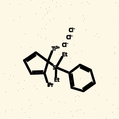 CC[Si](CC)(c1ccccc1)[C]1([Ti+3])C=CC=C1C(C)C.[Cl-].[Cl-].[Cl-]